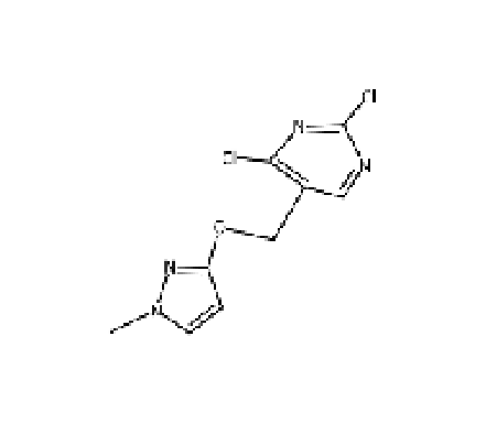 Cn1ccc(OCc2cnc(Cl)nc2Cl)n1